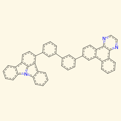 c1cc(-c2cccc(-c3ccc4c5ccccc5n5c6ccccc6c3c45)c2)cc(-c2ccc3c(c2)c2ccccc2c2nccnc32)c1